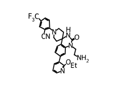 CCOc1ncccc1-c1ccc2c(c1)N(CCN)C(=O)NC21CCN(c2ccc(C(F)(F)F)cc2C#N)CC1